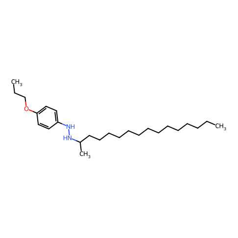 CCCCCCCCCCCCCCC(C)NNc1ccc(OCCC)cc1